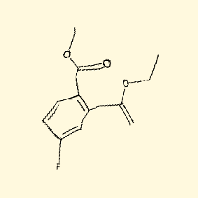 C=C(OCC)c1cc(F)ccc1C(=O)OC